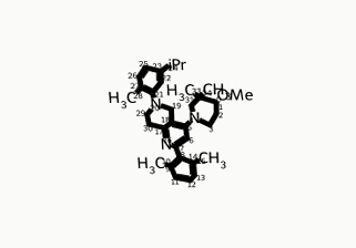 COC1CCN(c2cc(-c3c(C)cccc3C)nc3c2CN(c2cc(C(C)C)ccc2C)CC3)CC1(C)C